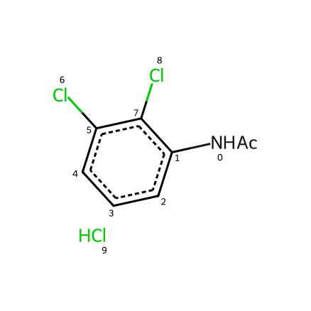 CC(=O)Nc1cccc(Cl)c1Cl.Cl